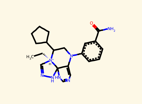 CC[N@@+]12C=NNC13NC=NC=C3N(c1cccc(C(N)=O)c1)CC2C1CCCC1